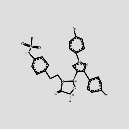 C[C@H]1O[C@H](c2cn(-c3ccc(Br)cc3)nc2-c2ccc(F)cc2)N(CCc2ccc(NS(C)(=O)=O)cc2)C1=O